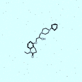 CCN1C(=O)CCc2c(OCC(O)CN3CCN(c4ccccc4)CC3)cccc21